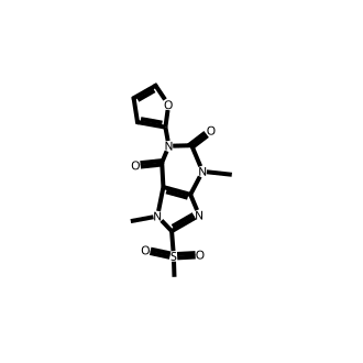 Cn1c(S(C)(=O)=O)nc2c1c(=O)n(-c1ccco1)c(=O)n2C